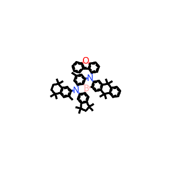 Cc1cc2c3c(c1)N(c1cccc4oc5ccccc5c14)c1cc4c(cc1B3c1cc3c(cc1N2c1cc2c(cc1C)C(C)(C)CCC2(C)C)C(C)(C)CC3(C)C)C(C)(C)c1ccccc1C4(C)C